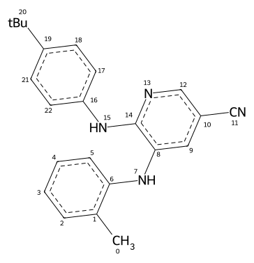 Cc1ccccc1Nc1cc(C#N)cnc1Nc1ccc(C(C)(C)C)cc1